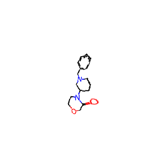 O=C1COCCN1C1CCCN(Cc2ccccc2)C1